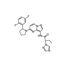 CC[C@](C)(C(=O)Nc1cnn2ccc(N3CCCC3c3cc(F)ccc3F)nc12)n1cncn1